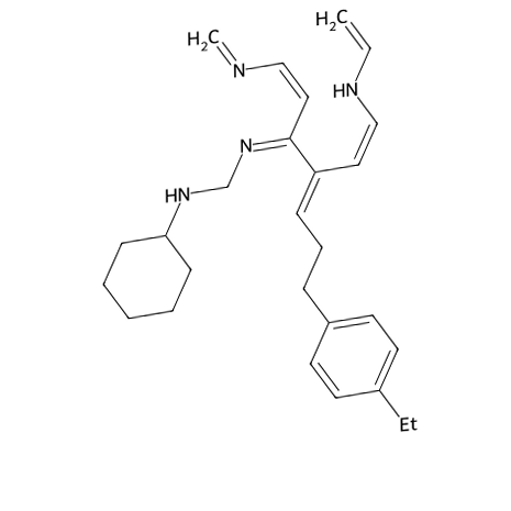 C=CN\C=C/C(=C\CCc1ccc(CC)cc1)C(/C=C\N=C)=N\CNC1CCCCC1